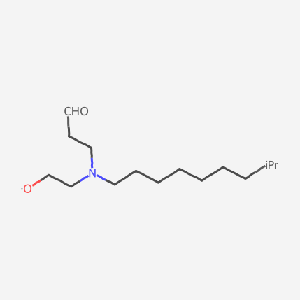 CC(C)CCCCCCCN(CC[O])CCC=O